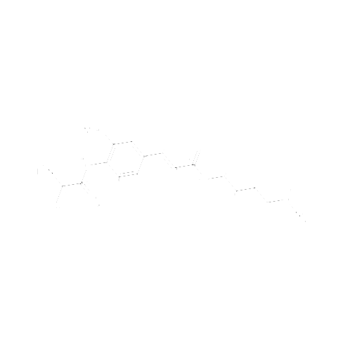 COc1cc(/C=C/C(=O)OCCCCO[N+](=O)[O-])ccc1OC(=O)C(C)N